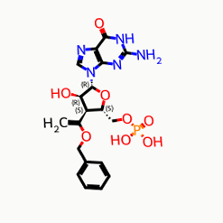 C=C(OCc1ccccc1)[C@H]1[C@@H](O)[C@H](n2cnc3c(=O)[nH]c(N)nc32)O[C@@H]1COP(=O)(O)O